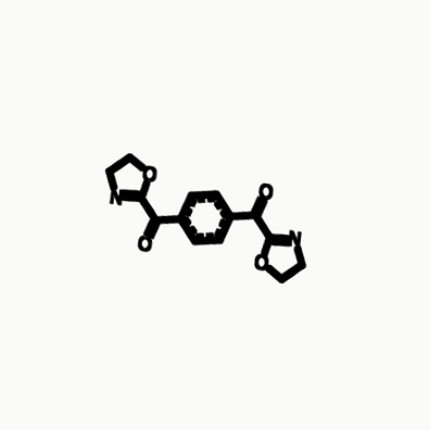 O=C(C1=NCCO1)c1ccc(C(=O)C2=NCCO2)cc1